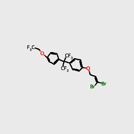 FC(F)(F)COc1ccc(C(c2ccc(OCC=C(Br)Br)cc2)(C(F)(F)F)C(F)(F)F)cc1